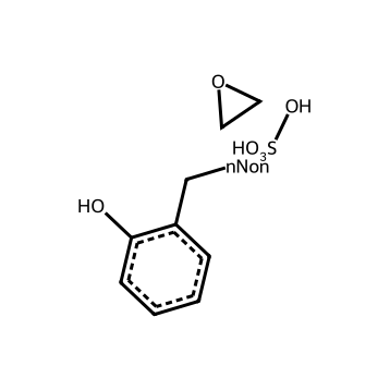 C1CO1.CCCCCCCCCCc1ccccc1O.O=S(=O)(O)O